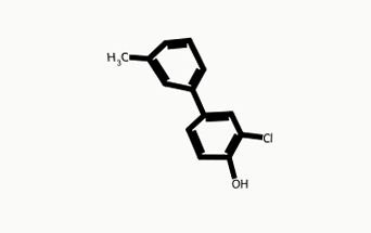 Cc1cccc(-c2ccc(O)c(Cl)c2)c1